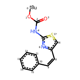 CC(C)(C)OC(=O)Nc1nc(/C=C\c2ccccc2)cs1